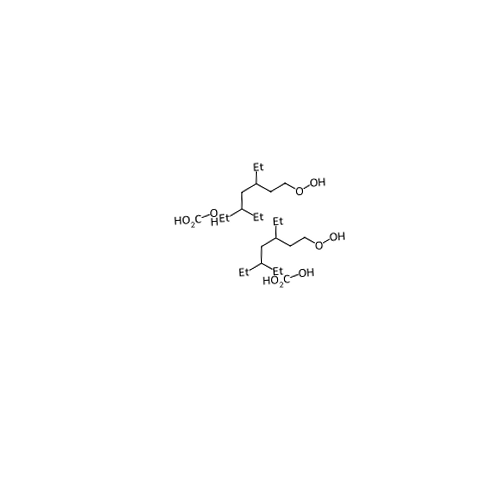 CCC(CC)CC(CC)CCOO.CCC(CC)CC(CC)CCOO.O=C(O)O.O=C(O)O